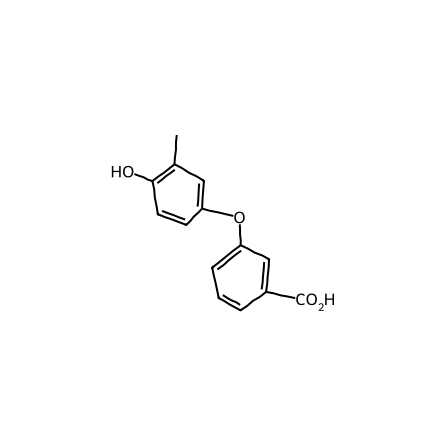 Cc1cc(Oc2cccc(C(=O)O)c2)ccc1O